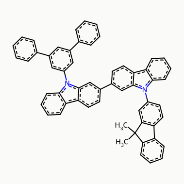 CC1(C)c2ccccc2-c2ccc(-n3c4ccccc4c4ccc(-c5ccc6c7ccccc7n(-c7cc(-c8ccccc8)cc(-c8ccccc8)c7)c6c5)cc43)cc21